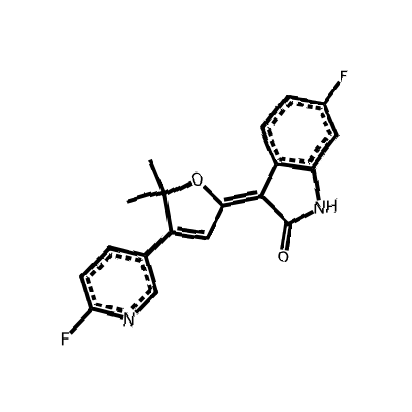 CC1(C)O/C(=C2/C(=O)Nc3cc(F)ccc32)C=C1c1ccc(F)nc1